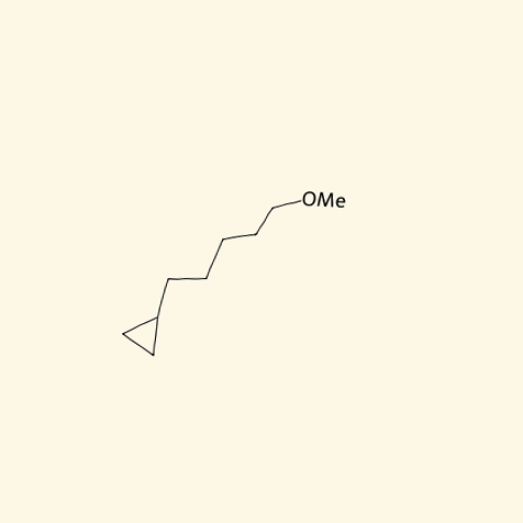 COCCCCCC1CC1